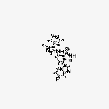 Cn1ncc(Nc2ccc(-c3cnc4cc(F)ccn34)c3c2C(=O)NC3)c1C1CCOCC1